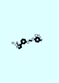 Cc1cc(F)ccc1OCCOc1cccc(-c2ccnn2C)c1